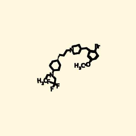 CCN(CC(F)(F)F)[C@H]1CC[C@H](CCCN2CCC(Cc3cc(OC)ccc3Br)CC2)CC1